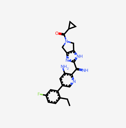 CCc1ccc(F)cc1-c1cnc(C(=N)c2nc3c([nH]2)CN(C(=O)C2CC2)C3)c(N)c1